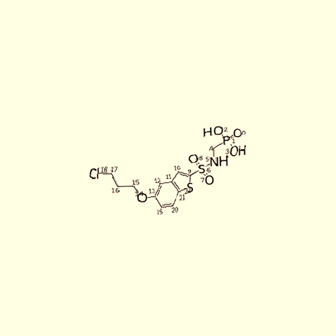 O=P(O)(O)CNS(=O)(=O)c1cc2cc(OCCCCl)ccc2s1